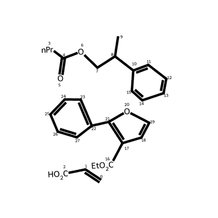 C=CC(=O)O.CCCC(=O)OCC(C)c1ccccc1.CCOC(=O)c1ccoc1-c1ccccc1